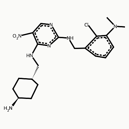 CN(C)c1cccc(CNc2ncc([N+](=O)[O-])c(NC[C@H]3CC[C@H](N)CC3)n2)c1Cl